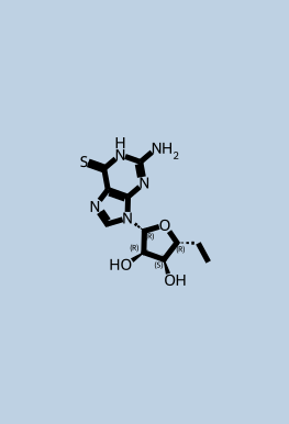 CC[C@H]1O[C@@H](n2cnc3c(=S)[nH]c(N)nc32)[C@H](O)[C@@H]1O